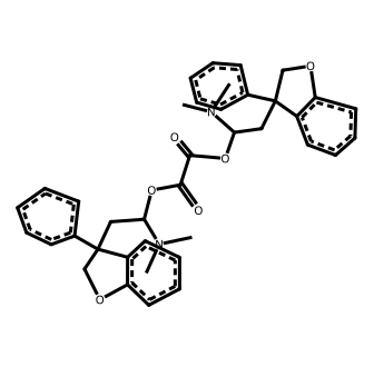 CN(C)C(CC1(c2ccccc2)COc2ccccc21)OC(=O)C(=O)OC(CC1(c2ccccc2)COc2ccccc21)N(C)C